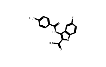 Cc1ccc(C(=O)Nc2c(C(N)=O)oc3ccc(F)cc23)cc1